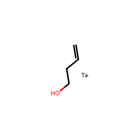 C=CCCO.[Ta]